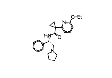 CCOc1cccc(C2(C(=O)N[C@H](CN3CCCC3)c3ccccc3)CC2)n1